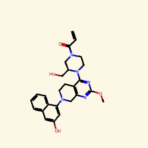 C=CC(=O)N1CCN(c2nc(OC)nc3c2CCN(c2cc(O)cc4ccccc24)C3)C(CO)C1